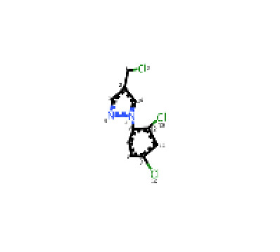 ClCc1cnn(-c2ccc(Cl)cc2Cl)c1